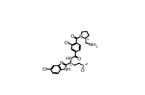 C[S+]([O-])CC[C@H](NC(=O)c1ccc(C(=O)N2CCC[C@H]2CN)c(Cl)c1)c1nc2cc(Cl)ccc2[nH]1